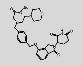 CC(C)(C)OC(=O)CN(CCN1CCOCC1)Cc1ccc(COc2cccc3c2CN(C2CCC(=O)NC2=O)C3=O)cc1